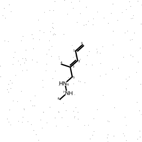 C=C/C=C(\C)CNNC